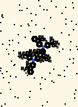 CC(C)(C)c1ccc(N(c2ccc3c(c2)C(C)(C)c2ccccc2-3)c2ccc3c(C(C)(C)C)c4ccc(N(c5ccc(C(C)(C)C)cc5)c5ccc6c(c5)C(C)(C)c5ccccc5-6)cc4c(C(C)(C)C)c3c2)cc1